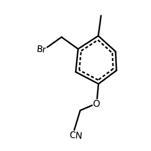 Cc1ccc(OCC#N)cc1CBr